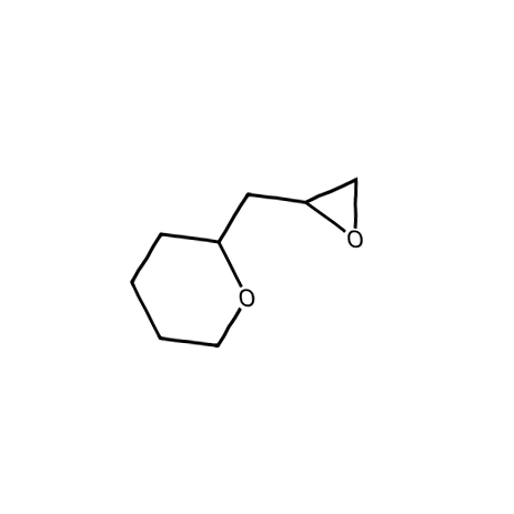 C1CCC(CC2CO2)OC1